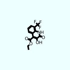 CCOC(=O)c1c(O)c(=O)[nH]c2c(C(F)(F)F)cccc12